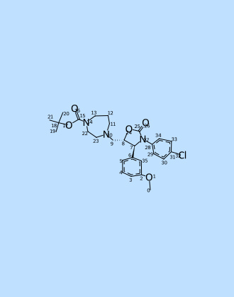 COc1cccc([C@H]2[C@H](CN3CCCN(C(=O)OC(C)(C)C)CC3)OC(=O)N2c2ccc(Cl)cc2)c1